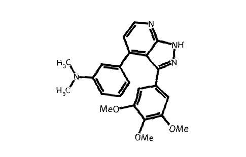 COc1cc(-c2n[nH]c3nccc(-c4cccc(N(C)C)c4)c23)cc(OC)c1OC